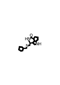 O=C1NCC(CN=Cc2ccccc2)c2c[nH]c3cccc1c23